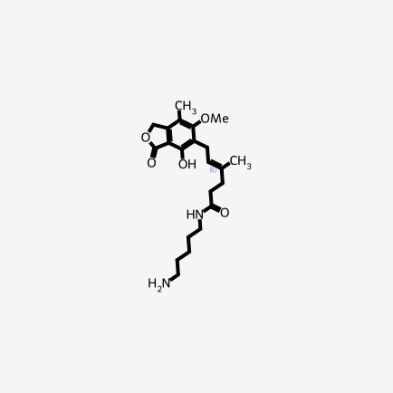 COc1c(C)c2c(c(O)c1C/C=C(\C)CCC(=O)NCCCCCN)C(=O)OC2